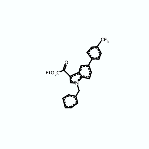 CCOC(=O)C(=O)c1cn(Cc2ccccc2)c2ccc(-c3ccc(C(F)(F)F)cc3)cc12